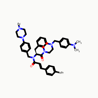 CCCc1ccc(C=CC(=O)N(Cc2ccc(N3CCN(C(C)=O)CC3)cc2)[C@@H](Cc2ccccc2)C(=O)N2CCN(Cc3ccc(N(C)C)cc3)CC2)cc1